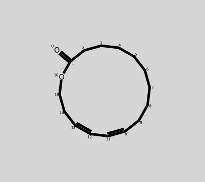 O=C1CCCCCCCCC=CC=CCCO1